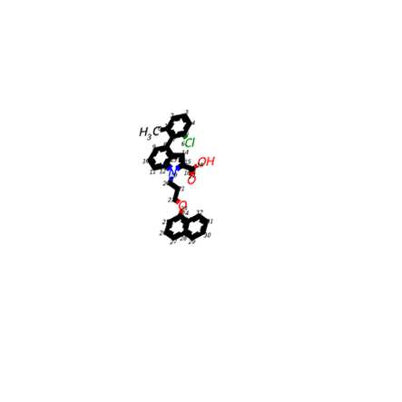 Cc1cccc(Cl)c1-c1cccc2c1cc(C(=O)O)n2CCCOc1cccc2ccccc12